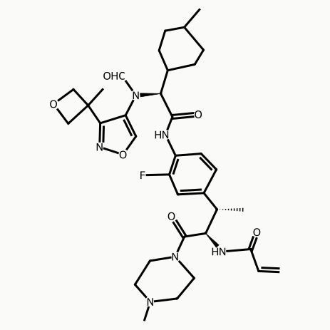 C=CC(=O)N[C@@H](C(=O)N1CCN(C)CC1)[C@@H](C)c1ccc(NC(=O)[C@H](C2CCC(C)CC2)N(C=O)c2conc2C2(C)COC2)c(F)c1